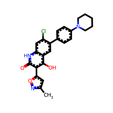 Cc1cc(-c2c(O)c3cc(-c4ccc(N5CCCCC5)cc4)c(Cl)cc3[nH]c2=O)on1